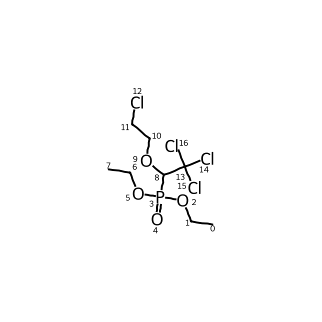 CCOP(=O)(OCC)C(OCCCl)C(Cl)(Cl)Cl